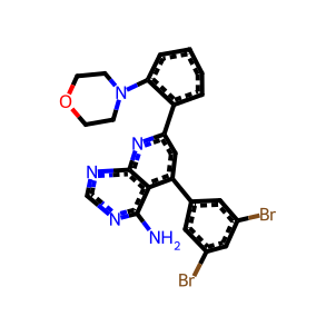 Nc1ncnc2nc(-c3ccccc3N3CCOCC3)cc(-c3cc(Br)cc(Br)c3)c12